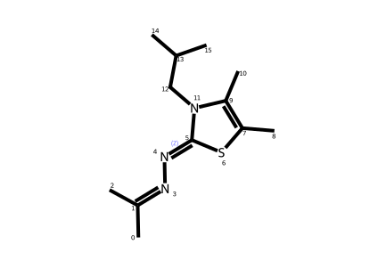 CC(C)=N/N=c1\sc(C)c(C)n1CC(C)C